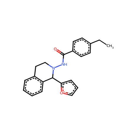 CCc1ccc(C(=O)NN2CCc3ccccc3C2c2ccco2)cc1